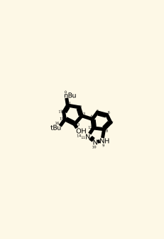 CCCCc1cc(-c2cccc3[nH]nnc23)c(O)c(C(C)(C)C)c1